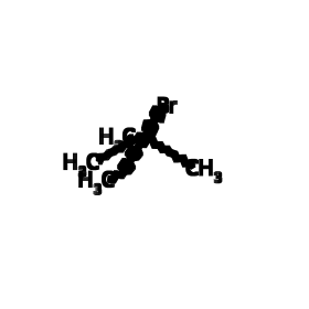 CCCCCCCCCCCCc1cc(-c2ccc(-c3ccc(CCCC)cc3)cc2)c(C(C)CCCCCCCCCC)cc1-c1ccc(-c2ccc(Br)cc2)cc1